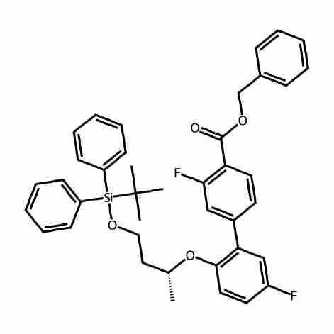 C[C@H](CCO[Si](c1ccccc1)(c1ccccc1)C(C)(C)C)Oc1ccc(F)cc1-c1ccc(C(=O)OCc2ccccc2)c(F)c1